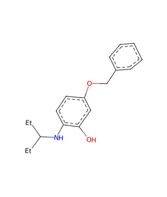 CCC(CC)Nc1ccc(OCc2ccccc2)cc1O